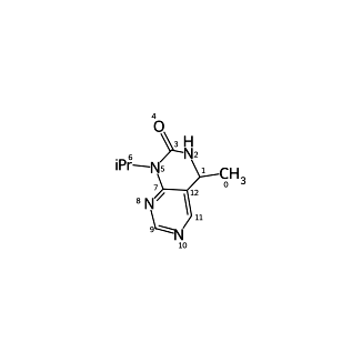 CC1NC(=O)N(C(C)C)c2ncncc21